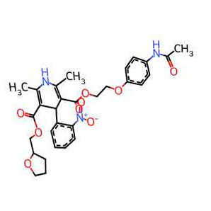 CC(=O)Nc1ccc(OCCOC(=O)C2=C(C)NC(C)=C(C(=O)OCC3CCCO3)C2c2ccccc2[N+](=O)[O-])cc1